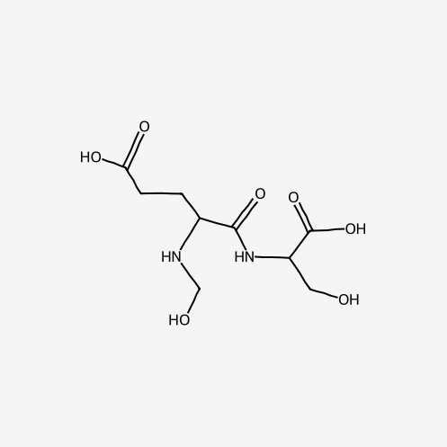 O=C(O)CCC(NCO)C(=O)NC(CO)C(=O)O